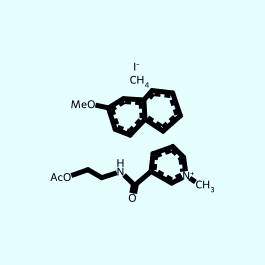 C.CC(=O)OCCNC(=O)c1ccc[n+](C)c1.COc1ccc2ccccc2c1.[I-]